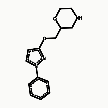 c1ccc(-n2ccc(OCC3CNCCO3)n2)cc1